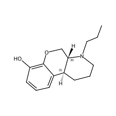 CCCN1CCC[C@H]2c3cccc(O)c3OC[C@@H]21